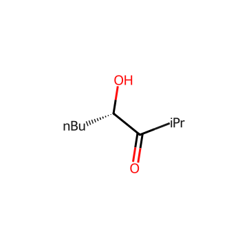 CCCC[C@H](O)C(=O)C(C)C